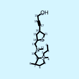 CCCS1(C)CCC(C)C1CN(C)CC1CC(C#CCO)CS1